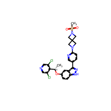 C[C@H](Oc1ccc2[nH]nc(-c3ccc(N4CC5(C4)CN(S(C)(=O)=O)C5)nc3)c2c1)c1c(Cl)cncc1Cl